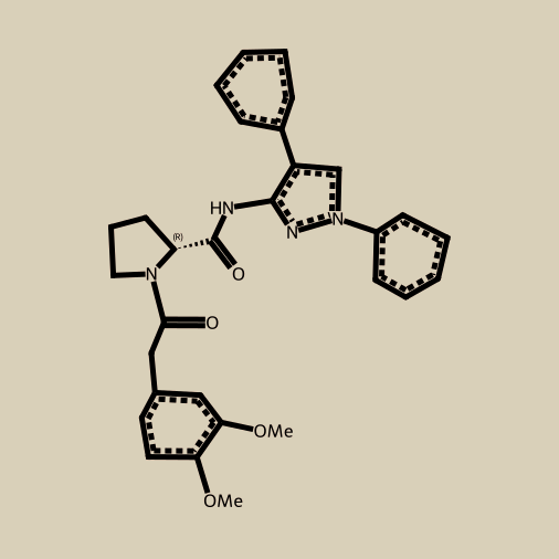 COc1ccc(CC(=O)N2CCC[C@@H]2C(=O)Nc2nn(-c3ccccc3)cc2-c2ccccc2)cc1OC